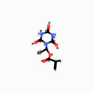 C=C(C)C(=O)OC(CC)n1c(=O)[nH]c(=O)[nH]c1=O